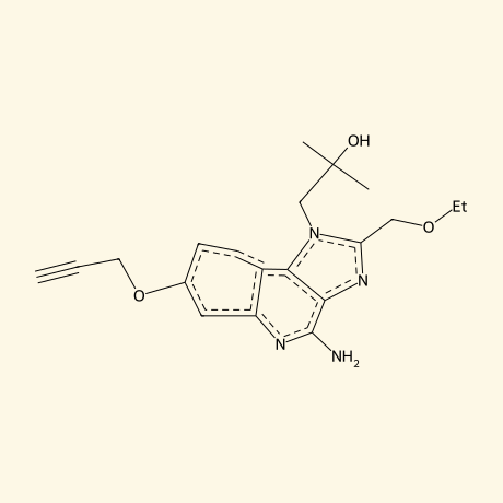 C#CCOc1ccc2c(c1)nc(N)c1nc(COCC)n(CC(C)(C)O)c12